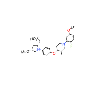 CCOc1ccc(F)c(N2CCC(Oc3ccc(N4C[C@H](OC)C[C@@H]4CC(=O)O)cc3)C(C)C2)c1